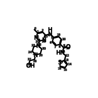 Cc1cc(Nc2ccc(C(=O)NCc3cccs3)cc2)nc(N2CCN(CCO)CC2)n1